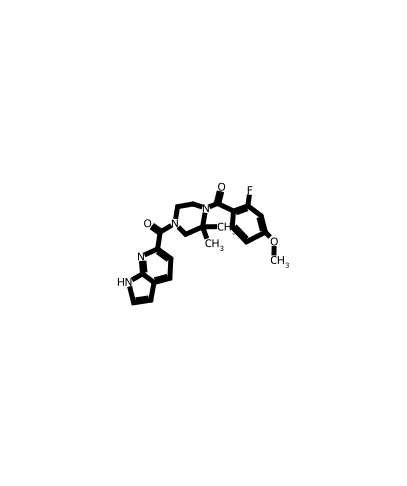 COc1ccc(C(=O)N2CCN(C(=O)c3ccc4cc[nH]c4n3)CC2(C)C)c(F)c1